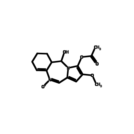 COc1cc2n(c1OC(C)=O)C(O)C1CCCC=C1[N+]([O-])=C2